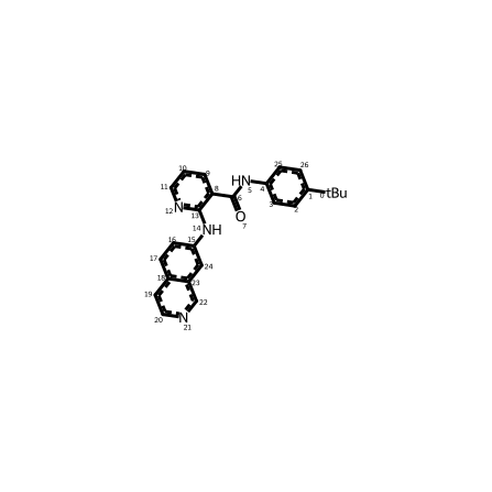 CC(C)(C)c1ccc(NC(=O)c2cccnc2Nc2ccc3ccncc3c2)cc1